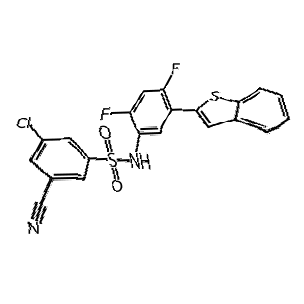 N#Cc1cc(Cl)cc(S(=O)(=O)Nc2cc(-c3cc4ccccc4s3)c(F)cc2F)c1